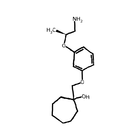 C[C@@H](CN)Oc1cccc(OCC2(O)CCCCCC2)c1